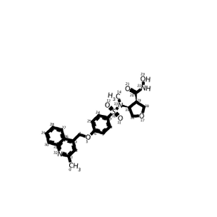 Cc1cc(COc2ccc(S(=O)(=O)N(C)[C@@H]3COC[C@@H]3C(=O)NO)cc2)c2ccccc2n1